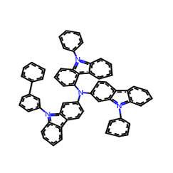 c1ccc(-c2cccc(-n3c4ccccc4c4ccc(N(c5ccc6c7ccccc7n(-c7ccccc7)c6c5)c5cccc6c5c5ccccc5n6-c5ccccc5)cc43)c2)cc1